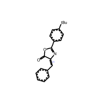 CC(C)(C)c1ccc(C2=N/C(=C/c3ccccc3)C(=O)O2)cc1